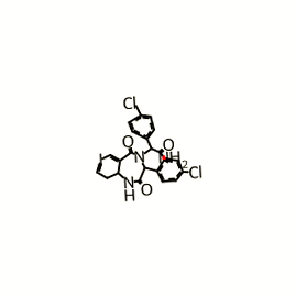 NC(=O)C(c1ccc(Cl)cc1)N1C(=O)C2=CI=CCC2NC(=O)C1c1ccc(Cl)cc1